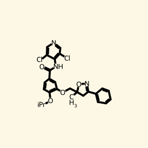 CC(C)Oc1ccc(C(=O)Nc2c(Cl)cncc2Cl)cc1OCC1(C)CC(c2ccccc2)=NO1